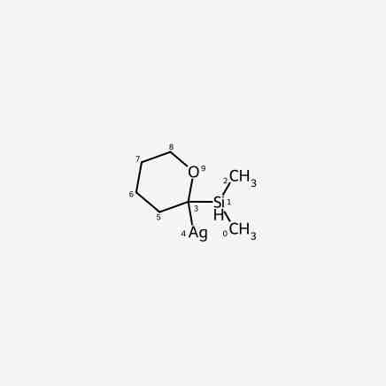 C[SiH](C)[C]1([Ag])CCCCO1